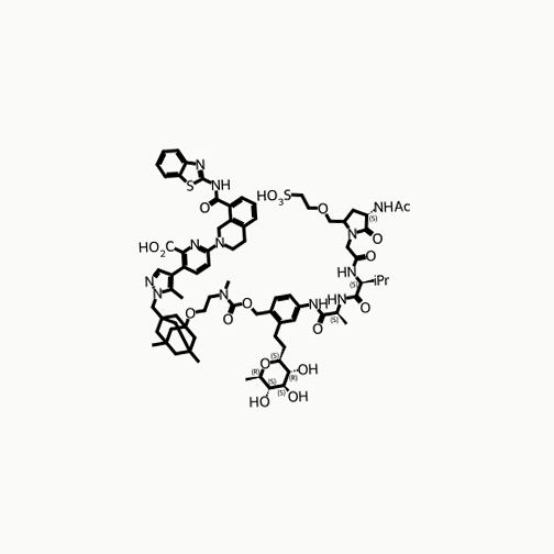 CC(=O)N[C@H]1CC(COCCS(=O)(=O)O)N(CC(=O)N[C@H](C(=O)N[C@@H](C)C(=O)Nc2ccc(COC(=O)N(C)CCOC34CC5(C)CC(C)(CC(Cn6ncc(-c7ccc(N8CCc9cccc(C(=O)Nc%10nc%11ccccc%11s%10)c9C8)nc7C(=O)O)c6C)(C5)C3)C4)c(CC[C@@H]3O[C@H](C)[C@@H](O)[C@H](O)[C@H]3O)c2)C(C)C)C1=O